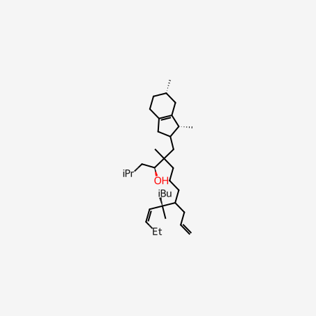 C=CCC(CCCC(C)(CC1CC2=C(C[C@@H](C)CC2)[C@@H]1C)[C@@H](O)CC(C)C)[C@](C)(/C=C\CC)C(C)CC